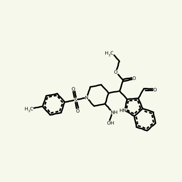 CCOC(=O)C(c1[nH]c2ccccc2c1C=O)C1CCN(S(=O)(=O)c2ccc(C)cc2)CC1NO